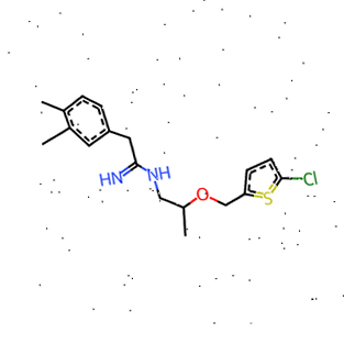 Cc1ccc(CC(=N)NCC(C)OCc2ccc(Cl)s2)cc1C